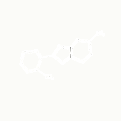 Cc1ccc2cc(-c3ccccc3C)sc2c1